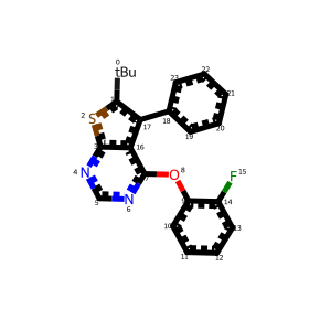 CC(C)(C)c1sc2ncnc(Oc3ccccc3F)c2c1-c1ccccc1